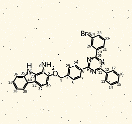 Nc1c(OCc2ccc(-c3nc(-c4ccccc4)nc(-c4cccc(Br)c4)n3)cc2)ccc2c1[nH]c1ccccc12